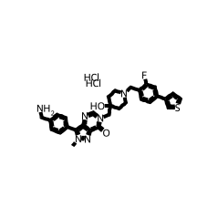 Cl.Cl.Cn1nc2c(=O)n(CC3(O)CCN(Cc4ccc(-c5ccsc5)cc4F)CC3)cnc2c1-c1ccc(CN)cc1